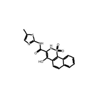 Cc1cnc(NC(=O)C2=C(O)c3ccc4ccccc4c3S(=O)(=O)N2)s1